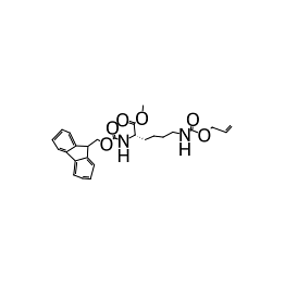 C=CCOC(=O)NCCCC[C@H](NC(=O)OCC1c2ccccc2-c2ccccc21)C(=O)OC